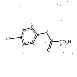 O=C(O)C(=O)Cc1ccc(F)cc1